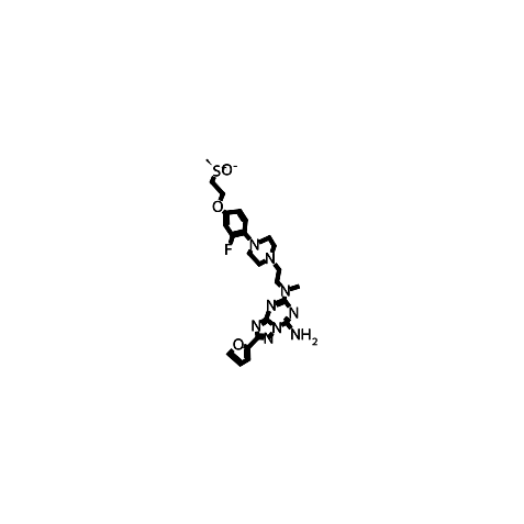 CN(CCN1CCN(c2ccc(OCC[S@+](C)[O-])cc2F)CC1)c1nc(N)n2nc(-c3ccco3)nc2n1